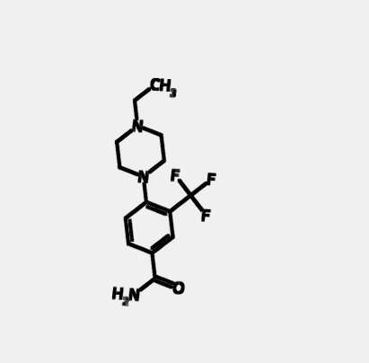 CCN1CCN(c2ccc(C(N)=O)cc2C(F)(F)F)CC1